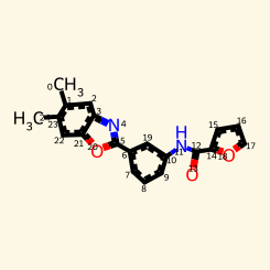 Cc1cc2nc(-c3cccc(NC(=O)c4ccco4)c3)oc2cc1C